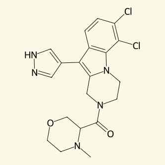 CN1CCOCC1C(=O)N1CCn2c(c(-c3cn[nH]c3)c3ccc(Cl)c(Cl)c32)C1